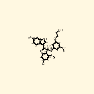 [2H][C@](Nc1cc(OC)cc(OCCO)c1)(C(=O)c1c[nH]c2cc(F)ccc12)c1ccc(Cl)cc1OC